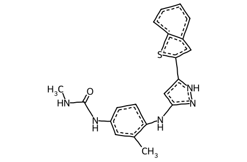 CNC(=O)Nc1ccc(Nc2cc(-c3cc4ccccc4s3)[nH]n2)c(C)c1